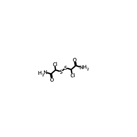 NC(=O)C(Cl)SSC(Cl)C(N)=O